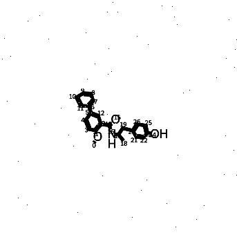 COc1ccc(-c2ccccc2)cc1C(=O)NC(C)Cc1ccc(O)cc1